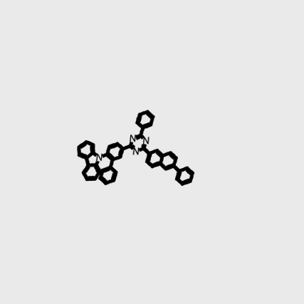 c1ccc(-c2ccc3cc(-c4nc(-c5ccccc5)nc(-c5ccc(-n6c7ccccc7c7ccccc76)c(-c6ccccc6)c5)n4)ccc3c2)cc1